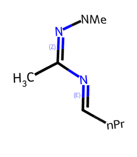 CCC/C=N/C(C)=N\NC